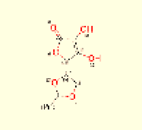 CC(C)C1OC[C@@H](C2OC(=O)C(O)=C2O)O1